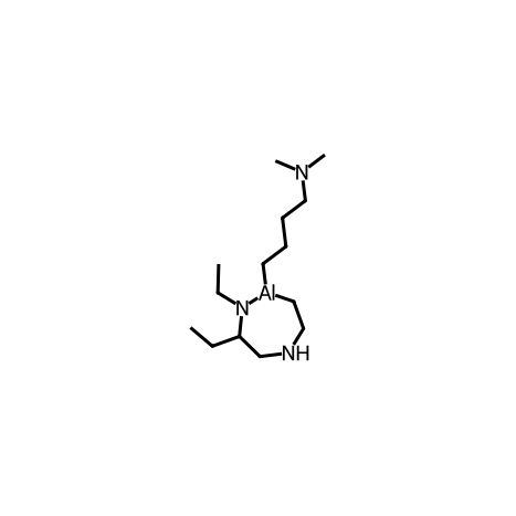 CCC1CNC[CH2][Al]([CH2]CCCN(C)C)[N]1CC